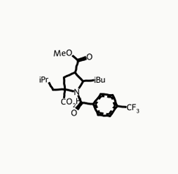 CCC(C)C1C(C(=O)OC)CC(CC(C)C)(C(=O)O)N1C(=O)c1ccc(C(F)(F)F)cc1